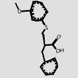 COc1cccc(SCC(Cc2ccccc2)C(=O)O)c1